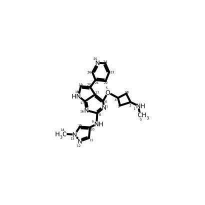 CNC1CC(Oc2nc(Nc3cnn(C)c3)nc3[nH]cc(-c4cccnc4)c23)C1